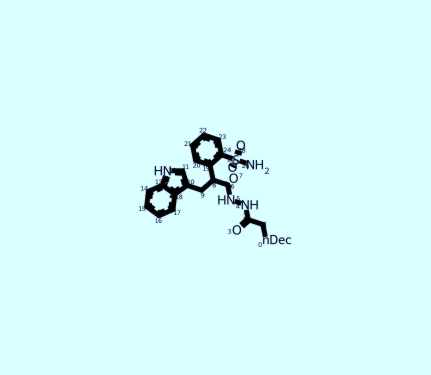 CCCCCCCCCCCC(=O)NNC(=O)C(Cc1c[nH]c2ccccc12)c1ccccc1S(N)(=O)=O